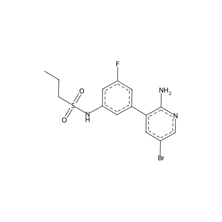 CCCS(=O)(=O)Nc1cc(F)cc(-c2cc(Br)cnc2N)c1